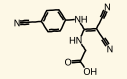 N#CC(C#N)=C(NCC(=O)O)Nc1ccc(C#N)cc1